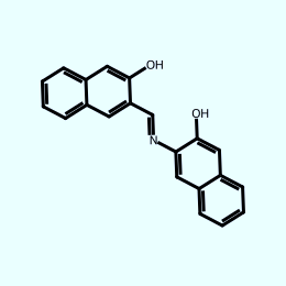 Oc1cc2ccccc2cc1C=Nc1cc2ccccc2cc1O